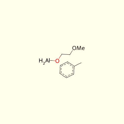 COCC[O][AlH2].Cc1ccccc1